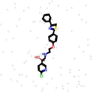 O[C@@H](CNCCOc1ccc(-c2nc(-c3ccccc3)cs2)cc1)c1ccc(Cl)nc1